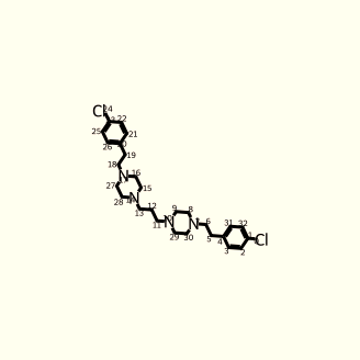 Clc1ccc(CCN2CCN(CCCN3CCN(CCc4ccc(Cl)cc4)CC3)CC2)cc1